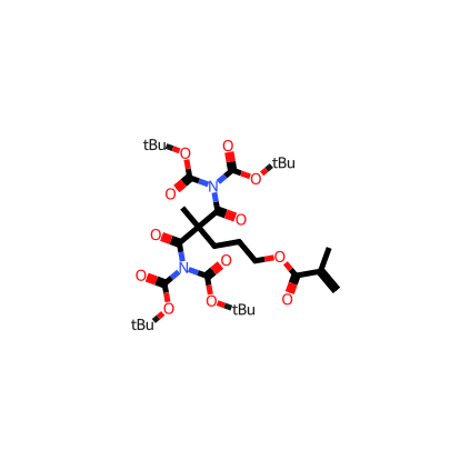 C=C(C)C(=O)OCCCC(C)(C(=O)N(C(=O)OC(C)(C)C)C(=O)OC(C)(C)C)C(=O)N(C(=O)OC(C)(C)C)C(=O)OC(C)(C)C